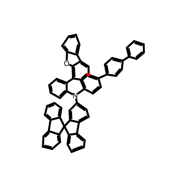 c1ccc(-c2ccc(-c3ccc(N(c4ccc5c(c4)C4(c6ccccc6-c6ccccc64)c4ccccc4-5)c4ccccc4-c4cccc5c4oc4ccccc45)cc3)cc2)cc1